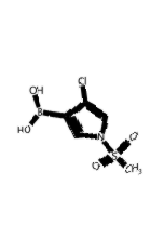 CS(=O)(=O)n1cc(Cl)c(B(O)O)c1